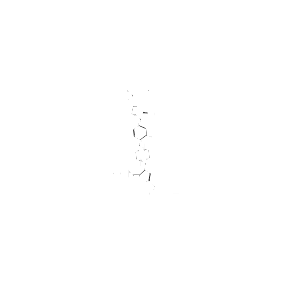 CC(=O)NC[C@H]1CN(c2ccc(N3CCN(c4cc(CC(=O)O)sc4[N+](=O)[O-])CC3)c(F)c2)C(=O)O1